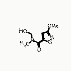 COc1cc(C(=O)N(C)CO)on1